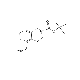 CN(C)Cc1cccc2c1CCN(C(=O)OC(C)(C)C)C2